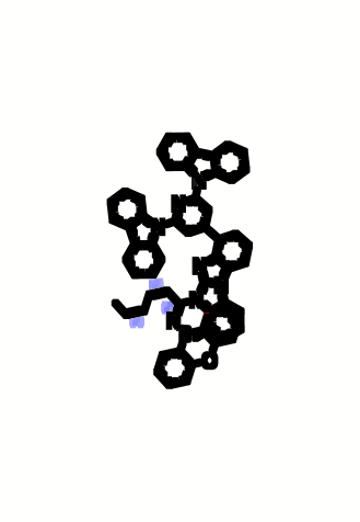 C\C=C/C=C\C(=N\B1c2ccccc2Oc2ccccc21)n1c2c(C)cccc2n2c3cccc(-c4cc(-n5c6ccccc6c6ccccc65)nc(-n5c6ccccc6c6ccccc65)c4)c3nc12